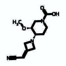 CO[C@@H]1CN(C(=O)O)CC[C@@H]1N1CC(=CC#N)C1